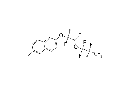 Cc1ccc2cc(OC(F)(F)C(F)OC(F)(F)C(F)(F)C(F)(F)F)ccc2c1